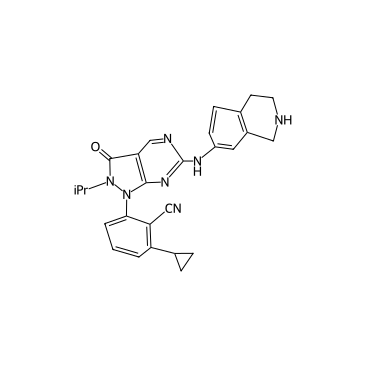 CC(C)n1c(=O)c2cnc(Nc3ccc4c(c3)CNCC4)nc2n1-c1cccc(C2CC2)c1C#N